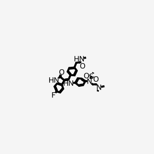 CNC(=O)Cc1ccc(C(Nc2ccc(N(CCN(C)C)S(C)(=O)=O)cc2)=C2C(=O)Nc3cc(F)ccc32)cc1